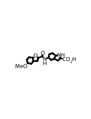 COc1ccc2oc(C(=O)Nc3ccc4[nH]c(C(=O)O)cc4c3)cc2c1